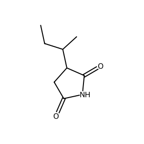 CCC(C)C1CC(=O)NC1=O